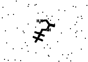 C=C(CN)NCC(C)(C)C(C)(C)C